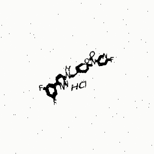 Cl.O=C1O[C@]2(CC[C@H](CNc3ccc(-c4cc(F)cc(F)c4)nn3)CC2)CN1c1ccc(F)nc1